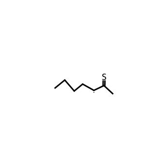 CCCC[CH]C(C)=S